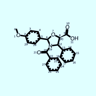 COc1ccc(C2O[C@@H](C(=O)O)C(c3ccccc3)N2C(=O)c2ccccc2)cc1